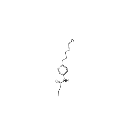 CCCC(=O)Nc1ccc(CCCOC=O)cc1